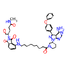 CNC(=O)CCC(C=O)N1C(=O)c2cccc(NCCCCCCCCC(=O)N3CCCC(n4nc(-c5ccc(Oc6ccccc6)cc5)c5c(N)ncnc54)C3)c2C1=O